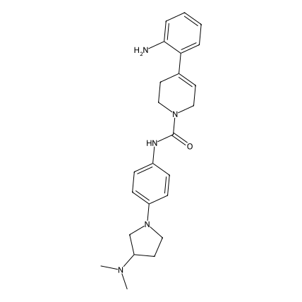 CN(C)C1CCN(c2ccc(NC(=O)N3CC=C(c4ccccc4N)CC3)cc2)C1